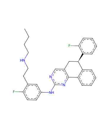 CCCCNCCc1cc(Nc2ncc3c(n2)-c2ccccc2[C@H](c2ccccc2F)C3)ccc1F